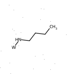 CCCC[NH][W]